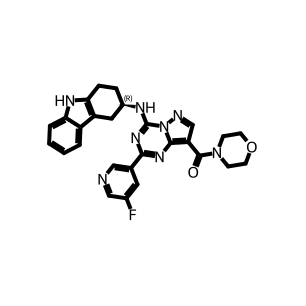 O=C(c1cnn2c(N[C@@H]3CCc4[nH]c5ccccc5c4C3)nc(-c3cncc(F)c3)nc12)N1CCOCC1